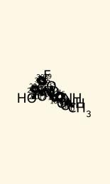 CNC(=O)NC1=CC=C2C(CCC23CN(CC(=O)N2[C@@H](CO)CC[C@H]2c2ccc(F)cc2)C(=O)O3)C1=O